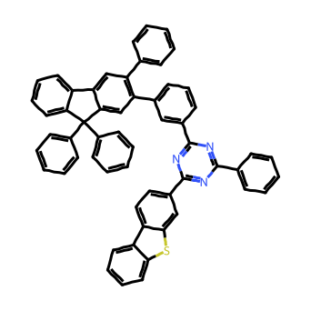 c1ccc(-c2nc(-c3cccc(-c4cc5c(cc4-c4ccccc4)-c4ccccc4C5(c4ccccc4)c4ccccc4)c3)nc(-c3ccc4c(c3)sc3ccccc34)n2)cc1